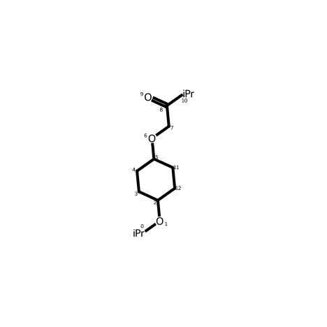 CC(C)OC1CCC(OCC(=O)C(C)C)CC1